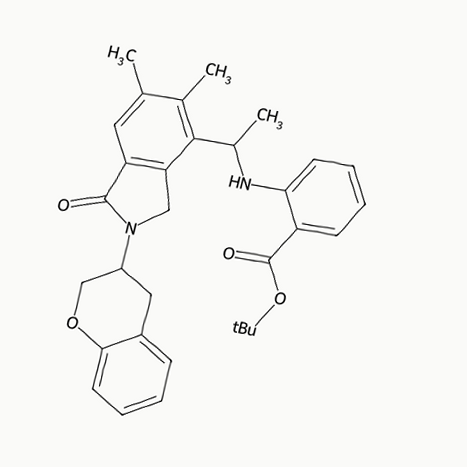 Cc1cc2c(c(C(C)Nc3ccccc3C(=O)OC(C)(C)C)c1C)CN(C1COc3ccccc3C1)C2=O